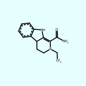 NC(=O)C1=C2Nc3cc[c]cc3C2CCN1CC(F)(F)F